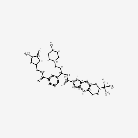 CN1CC(CNC(=O)c2cccc([C@@H](CCN3CCC(O)CC3)NC(=O)c3nc4cc5c(nc4s3)CC[C@H](C(C)(C)C)C5)c2)CC1=O